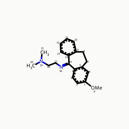 COc1ccc2c(c1)CCc1ccccc1C2=NCCN(C)C